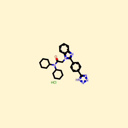 Cl.O=C(Cn1c(-c2ccc(-c3nnn[nH]3)cc2)nc2ccccc21)N(C1CCCCC1)C1CCCCC1